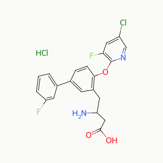 Cl.NC(CC(=O)O)Cc1cc(-c2cccc(F)c2)ccc1Oc1ncc(Cl)cc1F